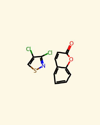 Clc1csnc1Cl.O=c1ccc2ccccc2o1